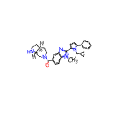 Cn1c(-c2ccc(-c3ccccc3)n2CC2CC2)nc2cc(C(=O)N3CC[C@H]4CCN[C@H]4C3)ccc21